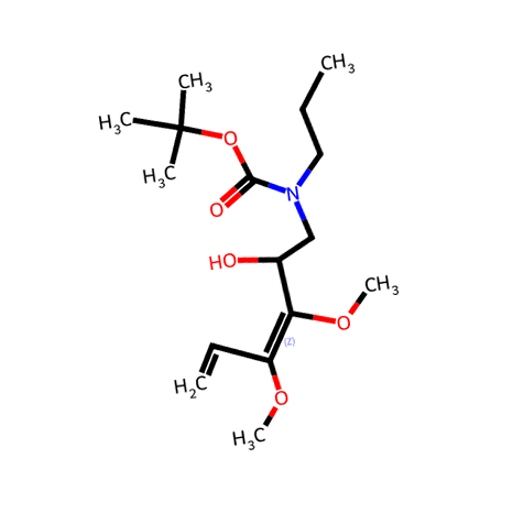 C=C/C(OC)=C(/OC)C(O)CN(CCC)C(=O)OC(C)(C)C